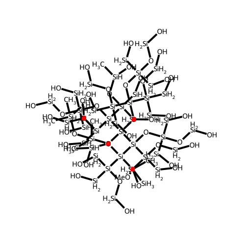 CO[Si](C)([SiH3])[Si](O[SiH](C)O)([Si](O[SiH2]O)([SiH2]O)[SiH2]O)[Si](O[Si](O[SiH2]O)([SiH2]O)[SiH2]O)([Si](O[SiH2]O)([SiH2]O)[SiH2]O)[Si](O[Si](C)(C)O[Si](C)(C)C)(O[Si](O[Si](O[SiH2]O)([SiH2]O)[SiH2]O)([Si](O[SiH2]O)([SiH2]O)[SiH2]O)[Si](O[SiH2]O)([SiH2]O)[SiH2]O)[Si](O[Si](O[SiH2]O)([SiH2]O)[SiH2]O)([Si](O[SiH2]O)([SiH2]O)[SiH2]O)[Si](O[SiH](C)O)([SiH2]O)[SiH2]O